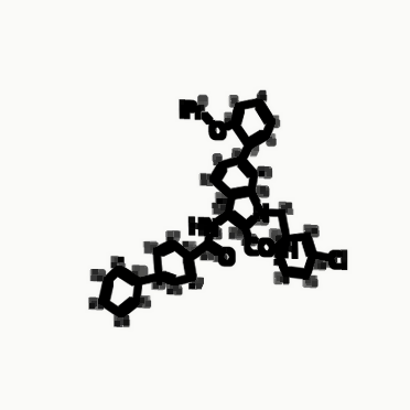 CC(C)Oc1ccccc1-c1ccc2c(NC(=O)c3ccc(-c4ccccc4)cc3)c(C(=O)O)n(Cc3cccc(Cl)c3)c2c1